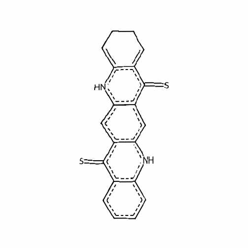 S=c1c2c([nH]c3cc4c(=S)c5ccccc5[nH]c4cc13)=CCCC=2